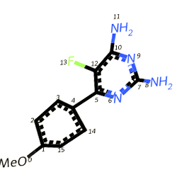 COc1ccc(-c2nc(N)nc(N)c2F)cc1